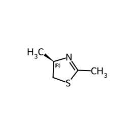 CC1=N[C@H](C)CS1